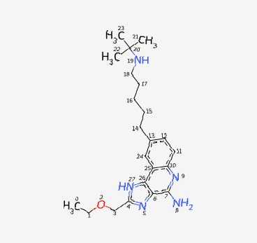 CCOCc1nc2c(N)nc3ccc(CCCCCNC(C)(C)C)cc3c2[nH]1